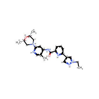 CCn1cc(-c2cccc(C(=O)Nc3cc(N4C[C@@H](C)O[C@@H](C)C4)ncc3C)n2)cn1